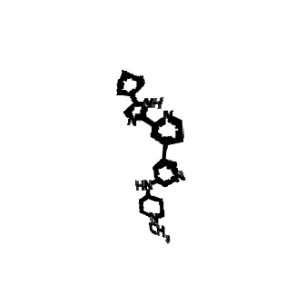 CN1CCC(Nc2cncc(-c3ccnc(-c4ncc(-c5ccccc5)[nH]4)c3)c2)CC1